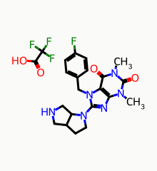 Cn1c(=O)c2c(nc(N3CCC4CNCC43)n2Cc2ccc(F)cc2)n(C)c1=O.O=C(O)C(F)(F)F